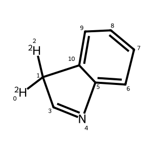 [2H]C1([2H])C=Nc2ccccc21